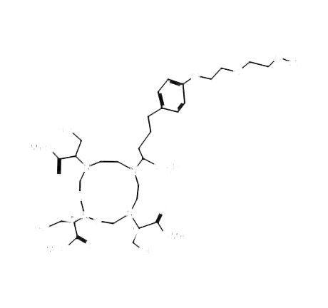 CCOCCOCCOc1ccc(CCCC(C(=O)O)N2CCN(C(CO)C(=O)OC)CCN([C@H](CO)C(=O)OC)CCN([C@H](CO)C(=O)OC)CC2)cc1